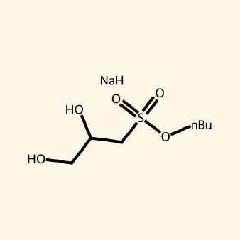 CCCCOS(=O)(=O)CC(O)CO.[NaH]